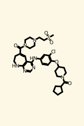 CS(=O)(=O)CCN1CCN(C(=O)C2=Cc3c(ncnc3Nc3ccc(OC4CCN(C(=O)C5CCCC5)CC4)c(Cl)c3)NCC2)CC1